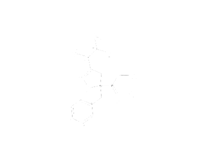 COC(=O)C1(Cc2ccccc2)CC(C(N)C(C)C)=NO1.Cl